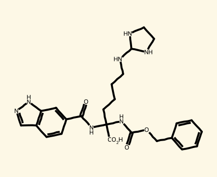 O=C(NC(CCCCNC1NCCN1)(NC(=O)c1ccc2cn[nH]c2c1)C(=O)O)OCc1ccccc1